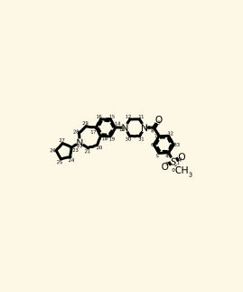 CS(=O)(=O)c1ccc(C(=O)N2CCN(c3ccc4c(c3)CCN(C3CCCC3)CC4)CC2)cc1